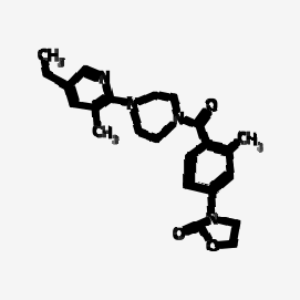 CCc1cnc(N2CCN(C(=O)c3ccc(N4CCOC4=O)cc3C)CC2)c(C)c1